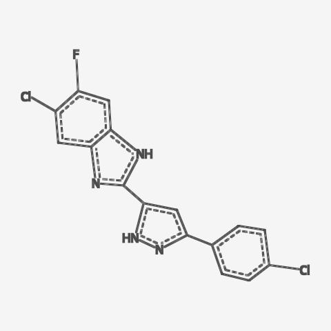 Fc1cc2[nH]c(-c3cc(-c4ccc(Cl)cc4)n[nH]3)nc2cc1Cl